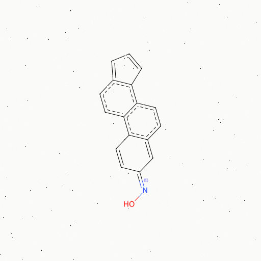 O/N=C1\C=Cc2c(ccc3c4c(ccc23)=CC=C4)=C1